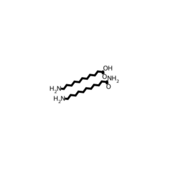 NCCCCCCCCCCC(=O)O.NCCCCCCCCCCC(N)=O